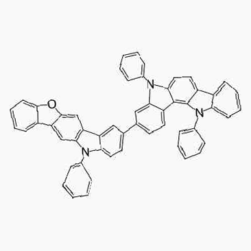 c1ccc(-n2c3ccc(-c4ccc5c6c(ccc7c8ccccc8n(-c8ccccc8)c76)n(-c6ccccc6)c5c4)cc3c3cc4oc5ccccc5c4cc32)cc1